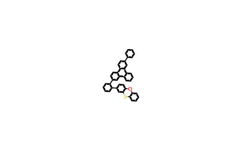 c1ccc(-c2ccc3c4ccc(-c5ccccc5-c5ccc6c(c5)Sc5ccccc5O6)cc4c4ccccc4c3c2)cc1